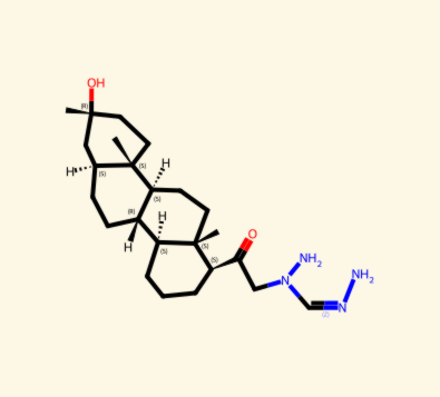 C[C@@]1(O)CC[C@@]2(C)[C@@H](CC[C@@H]3[C@@H]2CC[C@]2(C)[C@@H](C(=O)CN(N)/C=N\N)CCC[C@@H]32)C1